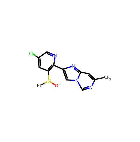 CC[S+]([O-])c1cc(Cl)cnc1-c1cn2cnc(C(F)(F)F)cc2n1